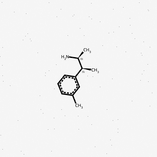 Cc1cccc([C@H](C)[C@H](C)N)c1